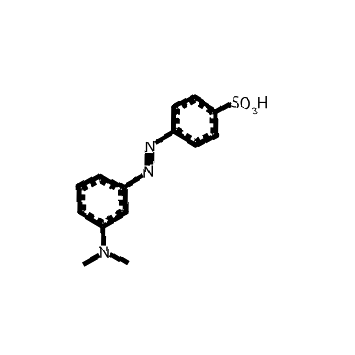 CN(C)c1cccc(/N=N/c2ccc(S(=O)(=O)O)cc2)c1